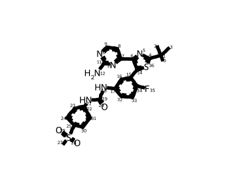 CC(C)(C)c1nc(-c2ccnc(N)n2)c(-c2cc(NC(=O)Nc3ccc(S(C)(=O)=O)cc3)ccc2F)s1